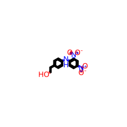 O=[N+]([O-])c1ccc(Nc2ccc(CCO)cc2)c([N+](=O)[O-])c1